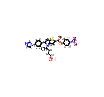 Cc1cc(-n2ccnc2)ccc1-c1cc2sc(C(=O)Oc3ccc([N+](=O)[O-])cc3)cc2n1CCCCO